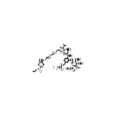 CCCC(=O)N1CCC(NCCOCCOCCC(=O)N[C@H](C(=O)N[C@@H](C)C(=O)Nc2ccc(COC(N)=O)cc2O[C@@H]2O[C@H](C(=O)O)[C@@H](O)[C@H](O)[C@H]2O)C(C)C)CC1